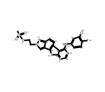 CS(=O)(=O)OCCn1cc2c(ccc3c2sc2ncnc(Nc4ccc(F)c(Cl)c4)c23)n1